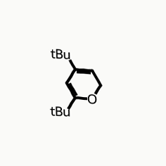 CC(C)(C)C1=CCOC(C(C)(C)C)=C1